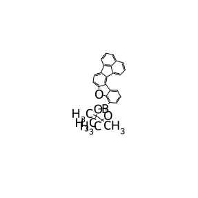 CC1(C)OB(c2cccc3c2oc2ccc4c(c23)-c2cccc3cccc-4c23)OC1(C)C